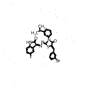 CC(C)c1cccc(N2C(=O)C(=Cc3cccc(Br)c3)SC2=NN=C2C(=O)Nc3ccc(F)cc32)c1